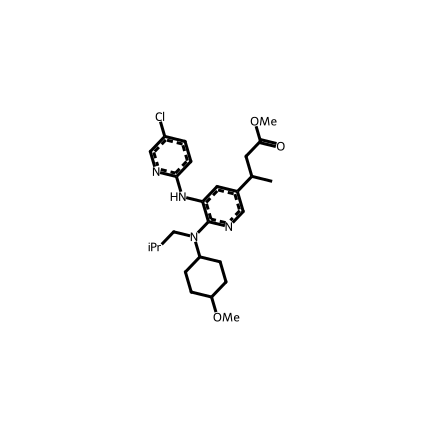 COC(=O)CC(C)c1cnc(N(CC(C)C)C2CCC(OC)CC2)c(Nc2ccc(Cl)cn2)c1